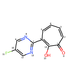 O=c1ccccc(-c2ncc(F)cn2)c1O